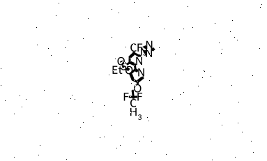 CCS(=O)(=O)c1cc(C(F)(F)F)c(-n2cncn2)nc1-c1ccc(OCC(C)(F)F)cn1